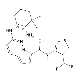 N[C@@H]1[C@H](Nc2ccc3ccc(C(O)Nc4cscc4C(F)F)n3n2)CCCC1(F)F